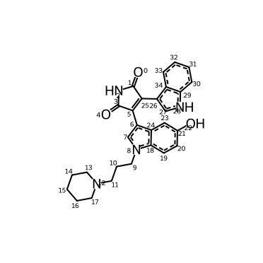 O=C1NC(=O)C(c2cn(CCCN3CCCCC3)c3ccc(O)cc23)=C1c1c[nH]c2ccccc12